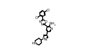 Nc1ncc(-c2cnn(C3CCNCC3)c2)cc1-c1nnc(-c2cc(Cl)ccc2Cl)o1